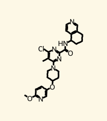 COc1ccc(OC2CCN(c3nc(C(=O)NC4CCCc5cnccc54)nc(Cl)c3C)CC2)cn1